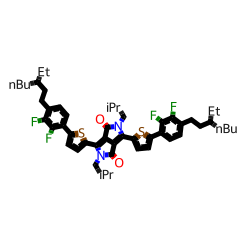 CCCCC(CC)CCc1ccc(-c2ccc(C3=C4C(=O)N(CC(C)C)C(c5ccc(-c6ccc(CCC(CC)CCCC)c(F)c6F)s5)=C4C(=O)N3CC(C)C)s2)c(F)c1F